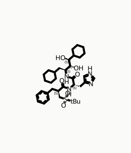 CC(C)(C)S(=O)(=O)C[C@@H](Cc1ccccc1)C(=O)N[C@@H](Cc1c[nH]cn1)C(=O)N[C@@H](CC1CCCCC1)[C@@H](O)[C@@H](O)C1CCCCC1